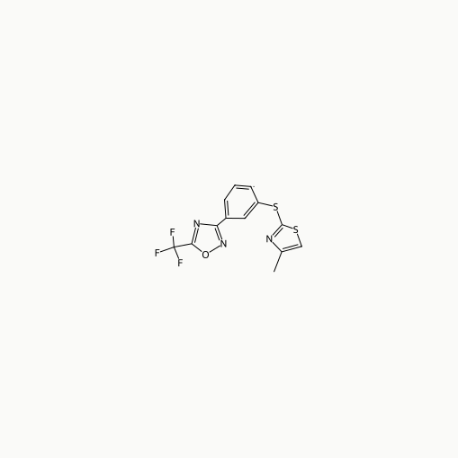 Cc1csc(Sc2[c]ccc(-c3noc(C(F)(F)F)n3)c2)n1